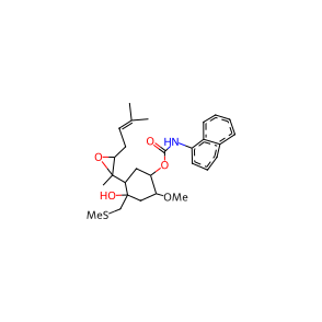 COC1CC(O)(CSC)C(C2(C)OC2CC=C(C)C)CC1OC(=O)Nc1cccc2ccccc12